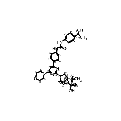 CC(O)c1ccc(NC(=O)Nc2ccc(-c3nc(N4CCOCC4)nc(N4C[C@]5(C(C)(C)C)C[C@@H]4CN5C(=O)O)n3)cc2)cc1